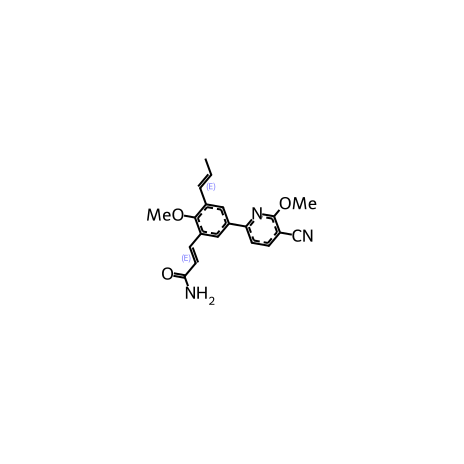 C/C=C/c1cc(-c2ccc(C#N)c(OC)n2)cc(/C=C/C(N)=O)c1OC